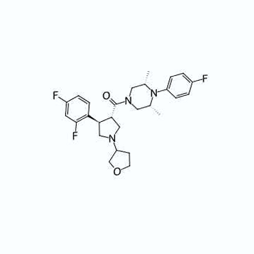 C[C@@H]1CN(C(=O)[C@@H]2CN(C3CCOC3)C[C@H]2c2ccc(F)cc2F)C[C@H](C)N1c1ccc(F)cc1